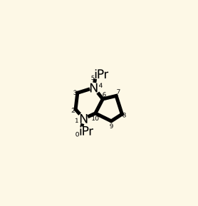 CC(C)N1CCN(C(C)C)C2CCCC21